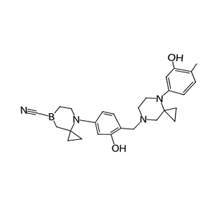 Cc1ccc(N2CCN(Cc3ccc(N4CCB(C#N)CC45CC5)cc3O)CC23CC3)cc1O